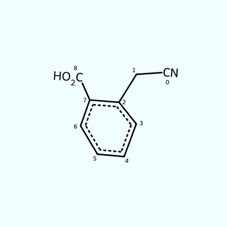 N#CCc1ccccc1C(=O)O